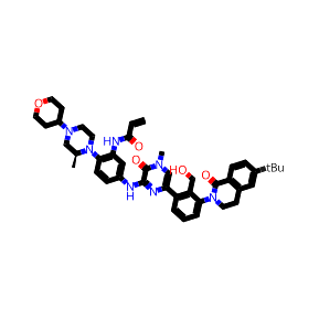 C=CC(=O)Nc1cc(Nc2nc(-c3cccc(N4CCc5cc(C(C)(C)C)ccc5C4=O)c3CO)cn(C)c2=O)ccc1N1CCN(C2CCOCC2)C[C@@H]1C